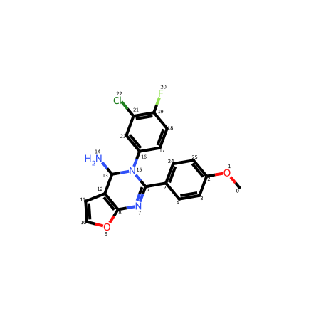 COc1ccc(C2=Nc3occc3C(N)N2c2ccc(F)c(Cl)c2)cc1